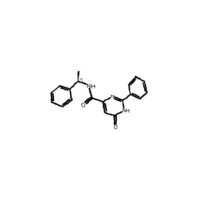 C[C@@H](NC(=O)c1cc(=O)[nH]c(-c2ccccc2)n1)c1ccccc1